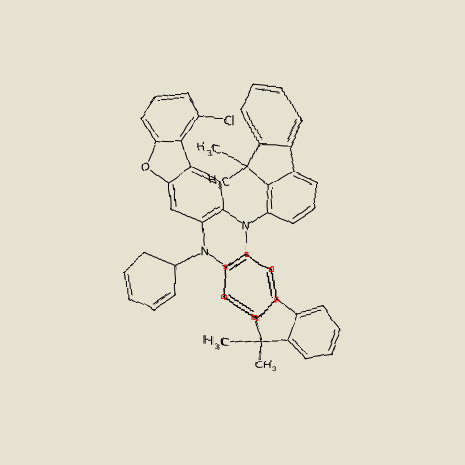 CC1(C)c2ccccc2-c2cc(N(c3cc4c(cc3N(c3ccccc3)C3C=CC=CC3)oc3cccc(Cl)c34)c3cccc4c3C(C)(C)c3ccccc3-4)ccc21